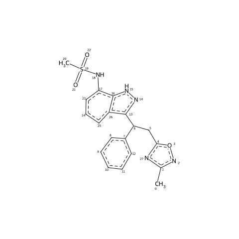 Cc1noc(CC(c2ccccc2)c2n[nH]c3c(NS(C)(=O)=O)cccc23)n1